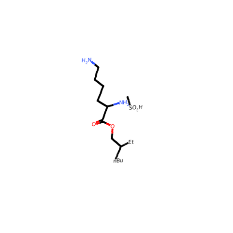 CCCCC(CC)COC(=O)C(N)CCCCN.CS(=O)(=O)O